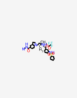 CC(C)(CCn1ccc2cc(C(=O)NC#N)ccc21)NC[C@H](OC(=O)C(F)(F)F)c1cccc(NS(=O)(=O)c2ccccc2)c1